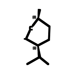 CC(C)[C@H]1[CH]C[C@@H](C)CC1